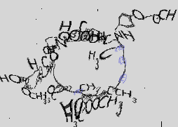 COCCOc1ccc(CNC2C[C@@H]3CC[C@@H](C)[C@@](O)(O3)C(=O)C(=O)N3CCCC[C@H]3C(=O)O[C@H]([C@H](C)C[C@@H]3CC[C@@H](O)[C@H](OC)C3)CC(=O)[C@H](C)/C=C(\C)[C@@H](O)[C@@H](OC)C(=O)[C@H](C)C[C@H](C)/C=C/C=C/C=C/2C)cc1